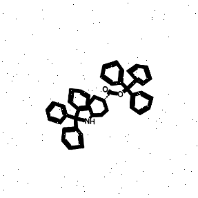 O=C(OC(c1ccccc1)(c1ccccc1)c1ccccc1)[C@H]1CC[C@H](NC(c2ccccc2)(c2ccccc2)c2ccccc2)CC1